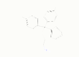 Cc1ccc(C(SCCN)(c2ccccc2)c2ccc(C)cc2)cc1